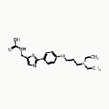 CCN(CC)CCCOc1ccc(-c2ncc(CNC(=O)O)s2)cc1